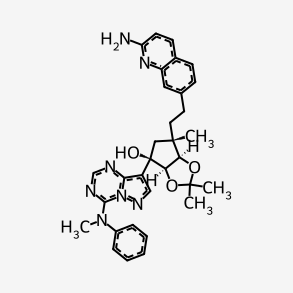 CN(c1ccccc1)c1ncnc2c([C@]3(O)C[C@](C)(CCc4ccc5ccc(N)nc5c4)[C@H]4OC(C)(C)O[C@H]43)cnn12